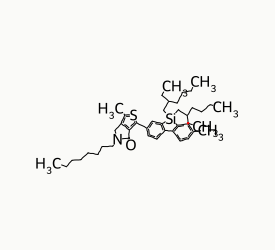 CCCCCCCCN1Cc2c(C)sc(-c3ccc4c(c3)[Si](CC(CC)CCCC)(CC(CC)CCCC)c3cc(C)ccc3-4)c2C1=O